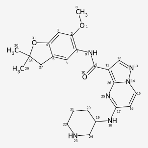 COc1cc2c(cc1NC(=O)c1cnn3ccc(NC4CCCNC4)nc13)CC(C)(C)O2